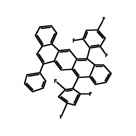 Fc1cc(F)c(-c2c3ccccc3c(-c3c(F)cc(F)cc3F)c3cc4c(cc23)c(-c2ccccc2)cc2ccccc24)c(F)c1